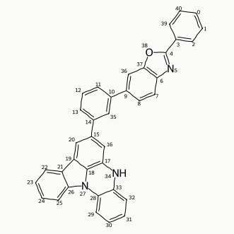 c1ccc(-c2nc3ccc(-c4cccc(-c5cc6c7c(c5)c5ccccc5n7-c5ccccc5N6)c4)cc3o2)cc1